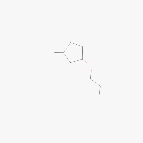 CCC(C)CCOC1CCC(C(=O)O)C1